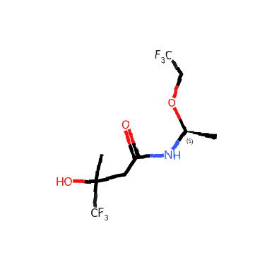 C[C@@H](NC(=O)CC(C)(O)C(F)(F)F)OCC(F)(F)F